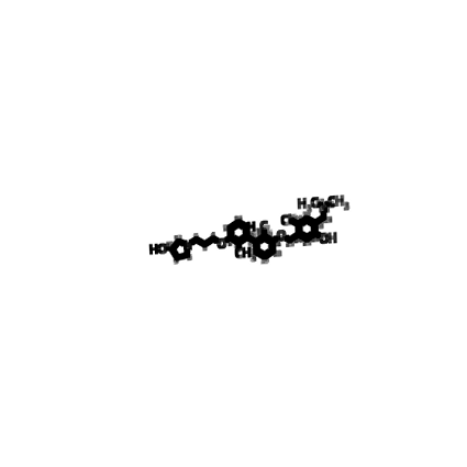 Cc1c(OCCCN2CC[C@@H](O)C2)cccc1-c1cccc(OCc2cc(O)c(CN(C)C)cc2Cl)c1C